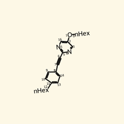 CCCCCCOc1cnc(C#Cc2ccc(CCCCCC)cc2)nc1